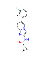 Cc1c(F)cccc1-c1ccc2nc(NC(=O)C3CC3F)c(C)n2c1